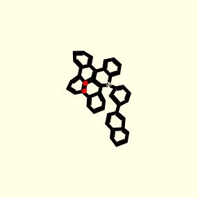 c1cc(-c2ccc3ccccc3c2)cc(N(c2ccccc2-c2cc3ccccc3c3ccccc23)c2cccc3ccccc23)c1